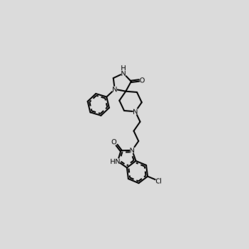 O=C1NCN(c2ccccc2)C12CCN(CCCn1c(=O)[nH]c3ccc(Cl)cc31)CC2